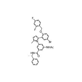 CC(=O)Nc1cc(C(=O)N[C@@H](C)c2ccccc2)cc(-n2c(C)ccc2-c2cc(Br)ccc2OCc2ccc(F)cc2F)c1